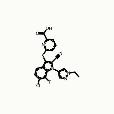 CCn1cc(-n2c(C#N)c(Sc3cccc(C(=O)O)n3)c3ccc(Cl)c(F)c32)cn1